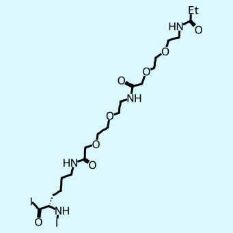 CCC(=O)NCCOCCOCC(=O)NCCOCCOCC(=O)NCCCC[C@H](NI)C(=O)I